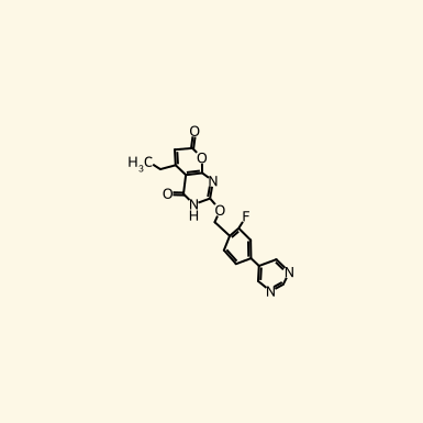 CCc1cc(=O)oc2nc(OCc3ccc(-c4cncnc4)cc3F)[nH]c(=O)c12